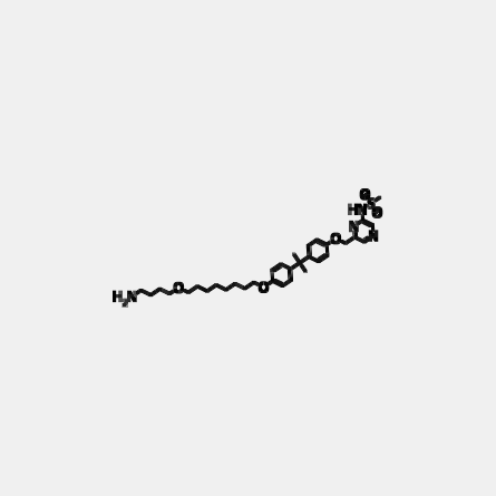 CC(C)(c1ccc(OCCCCCCCCOCCCCN)cc1)c1ccc(OCc2cncc(NS(C)(=O)=O)n2)cc1